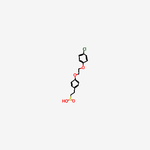 O=S(O)CCc1ccc(OCCOc2ccc(Cl)cc2)cc1